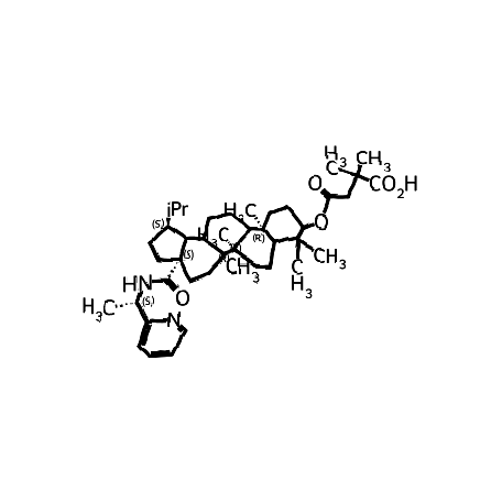 CC(C)[C@@H]1CC[C@]2(C(=O)N[C@@H](C)c3ccccn3)CC[C@]3(C)C(CCC4[C@@]5(C)CCC(OC(=O)CC(C)(C)C(=O)O)C(C)(C)C5CC[C@]43C)C12